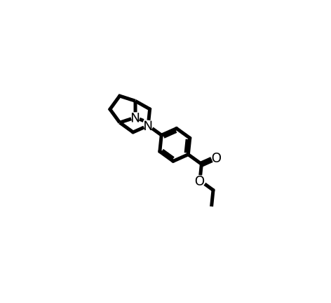 CCOC(=O)c1ccc(N2CC3CCC(C2)N3C)cc1